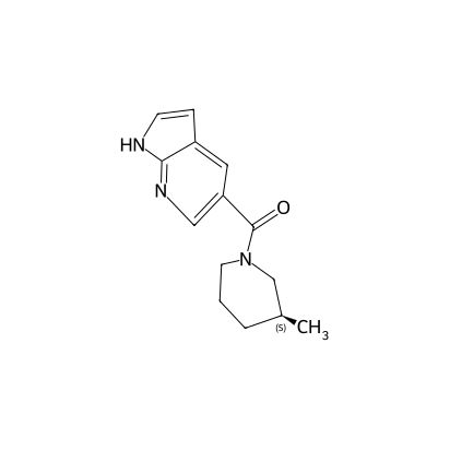 C[C@H]1CCCN(C(=O)c2cnc3[nH]ccc3c2)C1